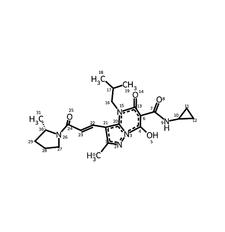 Cc1nn2c(O)c(C(=O)NC3CC3)c(=O)n(CC(C)C)c2c1/C=C/C(=O)N1CCC[C@@H]1C